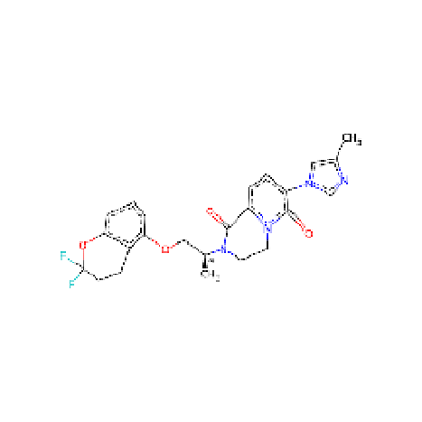 Cc1cn(-c2ccc3n(c2=O)CCN([C@@H](C)COc2cccc4c2CCC(F)(F)O4)C3=O)cn1